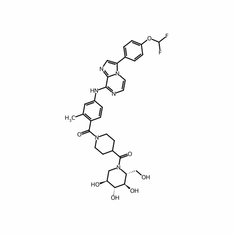 Cc1cc(Nc2nccn3c(-c4ccc(OC(F)F)cc4)cnc23)ccc1C(=O)N1CCC(C(=O)N2C[C@H](O)[C@@H](O)[C@H](O)[C@H]2CO)CC1